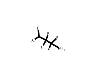 NC(F)(F)C(F)(F)C(F)C(F)(F)F